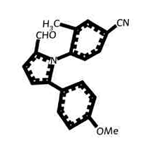 COc1ccc(-c2ccc(C=O)n2-c2ccc(C#N)cc2C)cc1